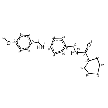 COc1ccc(CNc2ccc(CNC(=O)C3CCCCC3)cc2)cc1